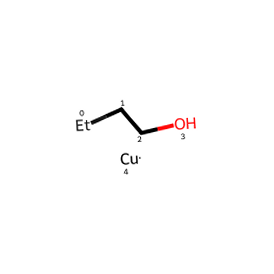 [CH2]CCCO.[Cu]